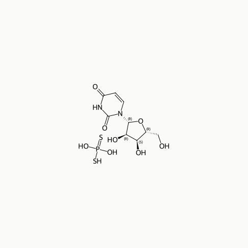 O=c1ccn([C@@H]2O[C@H](CO)[C@@H](O)[C@H]2O)c(=O)[nH]1.OP(O)(=S)S